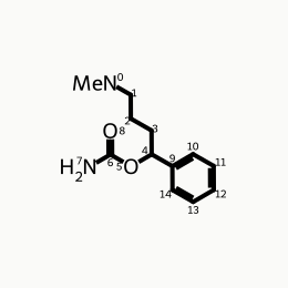 CNCCCC(OC(N)=O)c1ccccc1